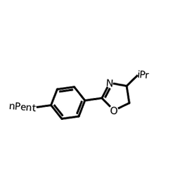 CCCCCc1ccc(C2=NC(C(C)C)CO2)cc1